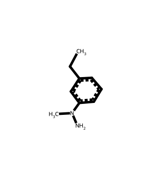 CCc1cccc(N(C)N)c1